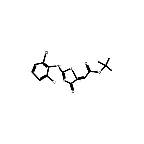 CC(C)(C)OC(=O)/C=C1\SC(Nc2c(Cl)cccc2Cl)=NC1=O